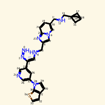 N=N/C(=C\NCc1cn2cc(CNCC34CC(C3)C4)ccc2n1)c1cncc(-n2ccc3ccsc32)c1